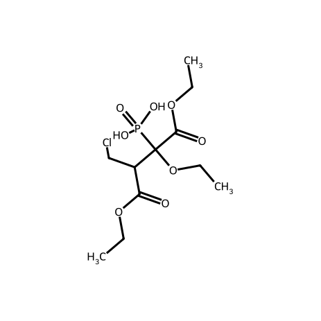 CCOC(=O)C(CCl)C(OCC)(C(=O)OCC)P(=O)(O)O